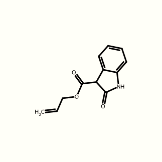 C=CCOC(=O)C1C(=O)Nc2ccccc21